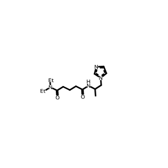 CCN(CC)C(=O)CCCC(=O)NC(C)Cn1ccnc1